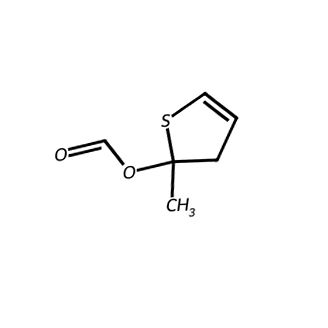 CC1(OC=O)CC=CS1